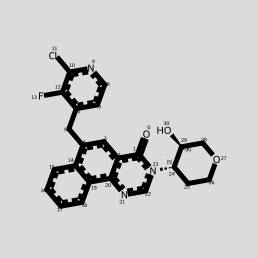 O=c1c2cc(Cc3ccnc(Cl)c3F)c3ccccc3c2ncn1[C@H]1CCOC[C@@H]1O